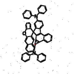 c1ccc(N(c2ccccc2)c2ccc3c(c2)C2(c4ccccc4Oc4cc5ccccc5cc42)c2c-3c3ccccc3c3cc(N(c4ccccc4)c4ccccc4)ccc23)cc1